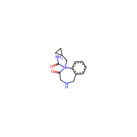 NC(=O)[N+]1(CC2CC2)C(=O)[CH]NCc2ccccc21